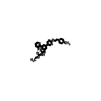 CCOC(=O)Nc1nc2cc(-c3cnc(OCCN4CCN(C)CC4)nc3)cc(-c3ncccc3F)c2[nH]1